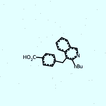 CCCCc1ncc2ccccc2c1Cc1ccc(C(=O)O)cc1